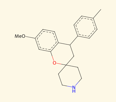 COc1ccc2c(c1)OC1(CCNCC1)CC2c1ccc(C)cc1